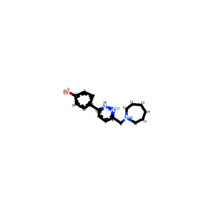 Brc1ccc(-c2ccc(CN3CCCCCC3)nn2)cc1